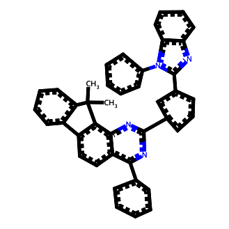 CC1(C)c2ccccc2-c2ccc3c(-c4ccccc4)nc(-c4cccc(-c5nc6ccccc6n5-c5ccccc5)c4)nc3c21